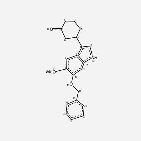 COc1cc2c(C3CCCC(=O)C3)c[nH]c2cc1OCc1ccccc1